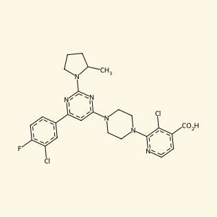 CC1CCCN1c1nc(-c2ccc(F)c(Cl)c2)cc(N2CCN(c3nccc(C(=O)O)c3Cl)CC2)n1